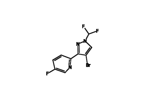 Fc1ccc(-c2nn(C(F)F)cc2Br)nc1